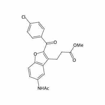 COC(=O)CCc1c(C(=O)c2ccc(Cl)cc2)oc2ccc(NC(C)=O)cc12